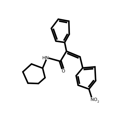 O=C(NC1CCCCC1)/C(=C\c1ccc([N+](=O)[O-])cc1)c1ccccc1